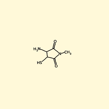 CN1C(=O)C(N)C(S)C1=O